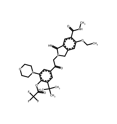 CCOc1cc2c(cc1C(=O)NC)C(=N)N(CC(=O)c1cc(N3CCOCC3)c(OC(=O)C(F)(F)F)c(C(C)(C)C)c1)C2